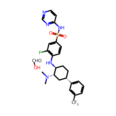 CN(C)[C@H]1C[C@@H](c2cccc(C(F)(F)F)c2)CC[C@@H]1Nc1ccc(S(=O)(=O)Nc2ccncn2)cc1F.O=CO